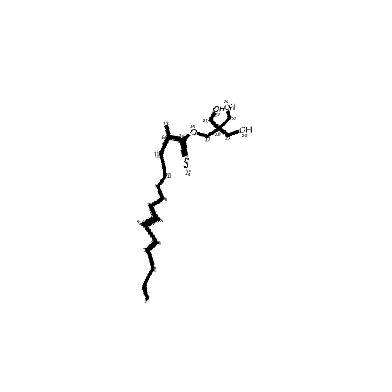 CCCCCCCCCCCCC(C)C(=S)OCC(CO)(CO)CO